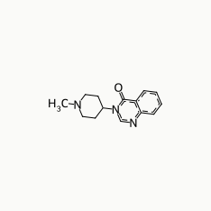 CN1CCC(n2cnc3ccccc3c2=O)CC1